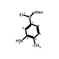 CCCCCCN(CC)c1ccc(C)c(N)c1